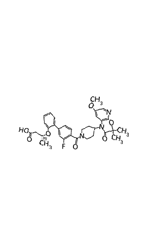 COc1cnc2c(c1)N(C1CCN(C(=O)c3ccc(-c4ccccc4O[C@H](C)CC(=O)O)cc3F)CC1)C(=O)C(C)(C)O2